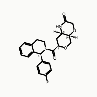 O=C1CO[C@@H]2CO[C@@H](C(=O)N3CCc4ccccc4[C@@H]3c3ccc(F)cc3)C[C@@H]2N1